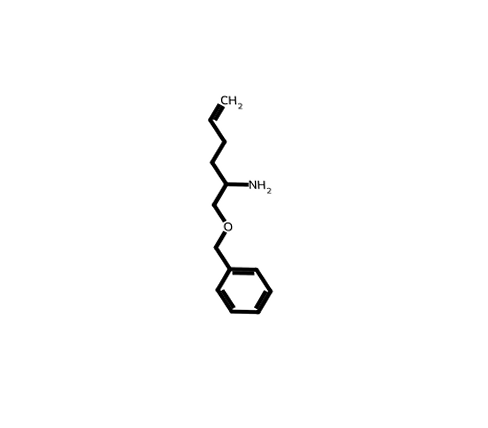 C=CCCC(N)COCc1ccccc1